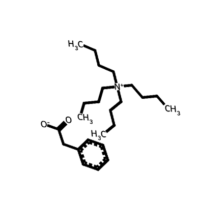 CCCC[N+](CCCC)(CCCC)CCCC.O=C([O-])Cc1ccccc1